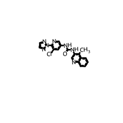 Cc1c(NC(=O)Nc2cnc(-n3nccn3)c(Cl)c2)cnc2ccccc12